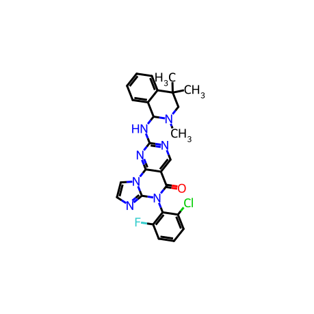 CN1CC(C)(C)c2ccccc2C1Nc1ncc2c(=O)n(-c3c(F)cccc3Cl)c3nccn3c2n1